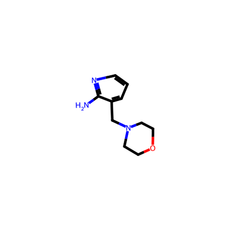 Nc1ncccc1CN1CCOCC1